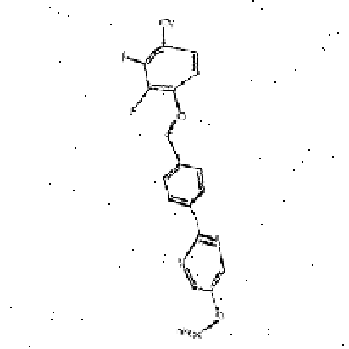 CCCCCCOc1cnc(-c2ccc(COc3ccc(C#N)c(F)c3F)cc2)nc1